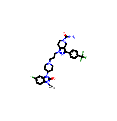 Cn1c(=O)n(C2CCN(CCCn3nc(-c4ccc(C(F)(F)F)cc4)c4c3CCN(C(N)=O)C4)CC2)c2cc(Cl)ccc21